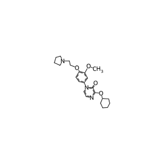 COc1cc(-n2ccnc(OC3CCCCC3)c2=O)ccc1OCCN1CCCC1